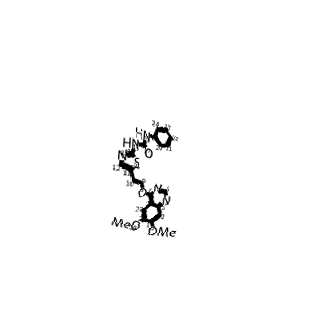 COc1cc2ncnc(OCCc3cnc(NC(=O)Nc4ccccc4)s3)c2cc1OC